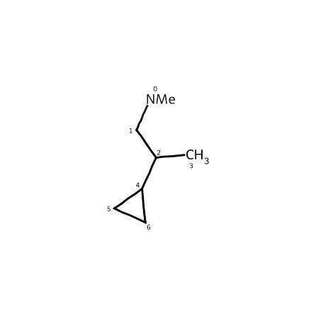 CNCC(C)C1CC1